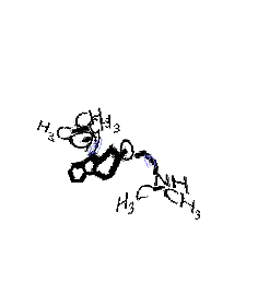 CC(C)NC/C=C\COc1ccc2c(c1)/C(=N/OC(C)(C)C)c1ccccc1-2